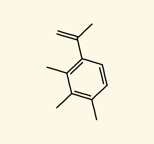 C=C(C)c1ccc(C)c(C)c1C